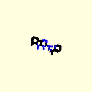 C/C(=N/NC1=NN=C2c3cccc(C)c3NC2N1)c1ccccn1